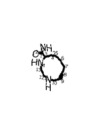 NC(=O)C1CCCCC#CCNCCN1